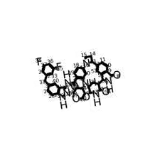 O=C1CCC(C2NC(=O)c3ccc(C4CCN4c4ccc(C(=O)Nc5n[nH]c6ccc(Cc7cc(F)cc(F)c7)cc56)c(NC5CCOCC5)c4)cc32)C(=O)N1